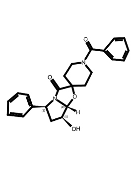 O=C(c1ccccc1)N1CCC2(CC1)O[C@@H]1[C@@H](O)C[C@@H](c3ccccc3)N1C2=O